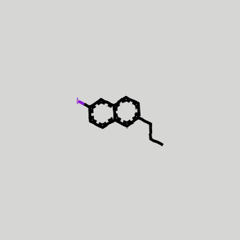 CCCc1[c]c2ccc(I)cc2cc1